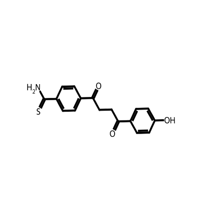 NC(=S)c1ccc(C(=O)CCC(=O)c2ccc(O)cc2)cc1